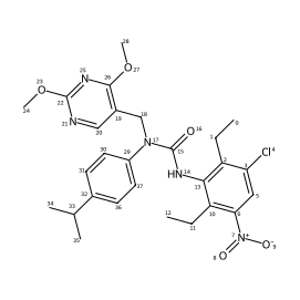 CCc1c(Cl)cc([N+](=O)[O-])c(CC)c1NC(=O)N(Cc1cnc(OC)nc1OC)c1ccc(C(C)C)cc1